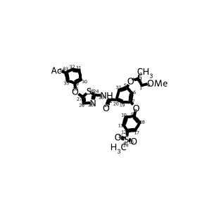 COC[C@H](C)Oc1cc(Oc2ccc(S(C)(=O)=O)cc2)cc(C(=O)Nc2ncc(Oc3cccc(C(C)=O)c3)s2)c1